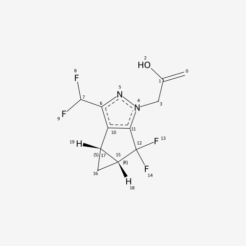 C=C(O)Cn1nc(C(F)F)c2c1C(F)(F)[C@@H]1C[C@H]21